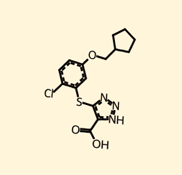 O=C(O)c1[nH]nnc1Sc1cc(OCC2CCCC2)ccc1Cl